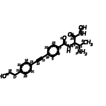 C[C@@H](N)C(NC(=O)c1ccc(C#Cc2ccc(CCO)cc2)cc1)C(=O)NO